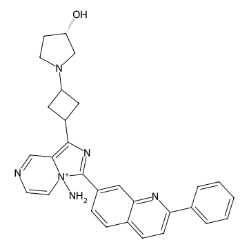 N[N+]12C=CN=CC1=C(C1CC(N3CC[C@H](O)C3)C1)N=C2c1ccc2ccc(-c3ccccc3)nc2c1